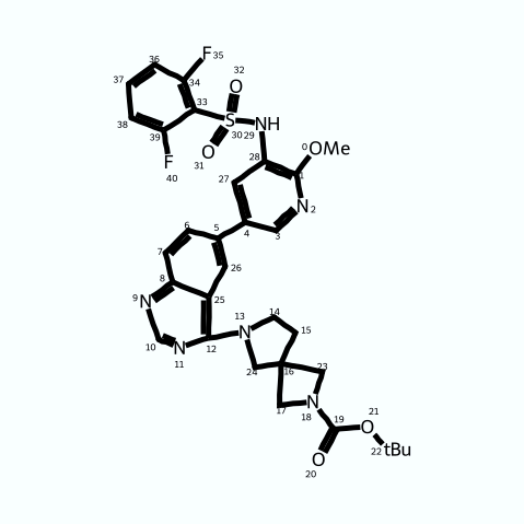 COc1ncc(-c2ccc3ncnc(N4CCC5(CN(C(=O)OC(C)(C)C)C5)C4)c3c2)cc1NS(=O)(=O)c1c(F)cccc1F